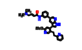 COc1cc(-c2c[nH]c3ncc(-c4cccc(NC(=O)C=CCN(C)C)c4)cc23)c(CCc2ccccn2)cn1